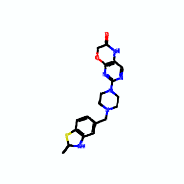 CC1Nc2cc(CN3CCN(c4ncc5c(n4)OCC(=O)N5)CC3)ccc2S1